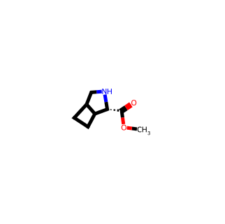 COC(=O)[C@H]1NCC2CCC21